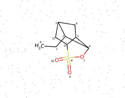 CCC1C2CC3C1OS(=O)(=O)C3C2